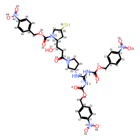 O=C(/N=C(/NC(=O)OCc1ccc([N+](=O)[O-])cc1)N[C@H]1CCN(C(=O)C[C@H](O)[C@@H]2C[C@H](S)CN2C(=O)OCc2ccc([N+](=O)[O-])cc2)C1)OCc1ccc([N+](=O)[O-])cc1